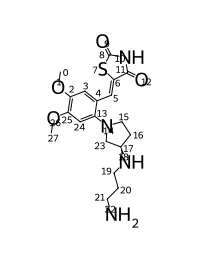 COc1cc(/C=C2\SC(=O)NC2=O)c(N2CC[C@@H](NCCCN)C2)cc1OC